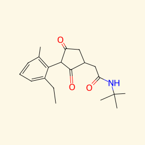 CCc1cccc(C)c1C1C(=O)CC(CC(=O)NC(C)(C)C)C1=O